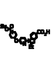 CCc1cc2cc(C(=O)O)ccc2n1-c1ccc(OC2CCN(C(=O)OC(C)(C)C)CC2)cn1